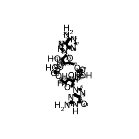 Nc1nc2c(ncn2[C@@H]2O[C@@H]3COP(=O)(O)O[C@@H]4C(COP(=O)(O)O[C@@H]2[C@@H]3O)O[C@@H](n2nnc3c(N)ncnc32)[C@@H]4O)c(=O)[nH]1